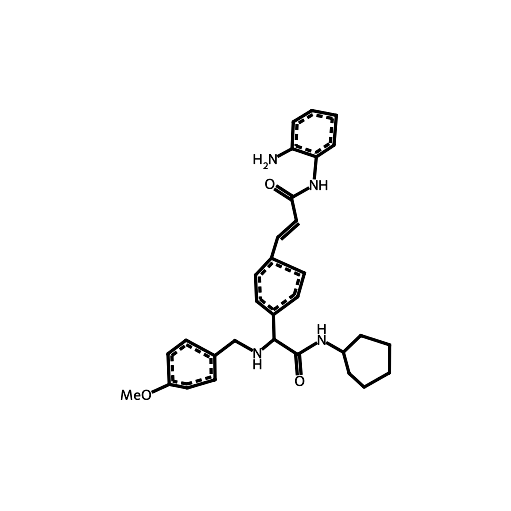 COc1ccc(CNC(C(=O)NC2CCCCC2)c2ccc(C=CC(=O)Nc3ccccc3N)cc2)cc1